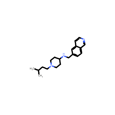 CC(C)CCN1CCC(NCc2ccc3cnccc3c2)CC1